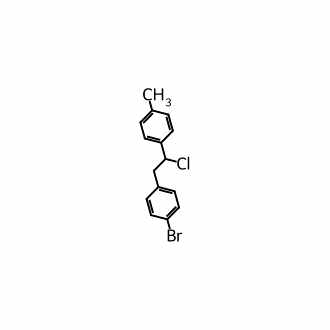 Cc1ccc(C(Cl)Cc2ccc(Br)cc2)cc1